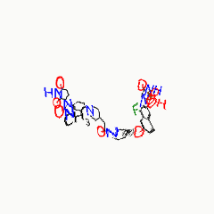 Cn1c(=O)n(C2CCC(=O)NC2=O)c2ccc(N3CCC(CC(=O)N4CCC[C@@H](COc5ccc6cc(O)c(N7CC(=O)NS7(=O)=O)c(F)c6c5)C4)CC3)cc21